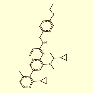 CCSc1ccc(CN/C(C=O)=N/c2nnc(-c3c(C)ncnc3C3CC3)cc2N(C)C(C)C2CC2)nc1